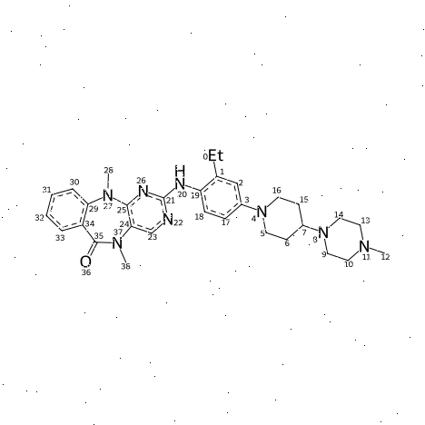 CCc1cc(N2CCC(N3CCN(C)CC3)CC2)ccc1Nc1ncc2c(n1)N(C)c1ccccc1C(=O)N2C